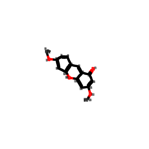 CCCOc1ccc2cc3c(=O)cc(OC(C)C)cc-3oc2c1